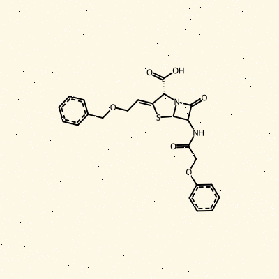 O=C(COc1ccccc1)NC1C(=O)N2C1SC(=CCOCc1ccccc1)[C@@H]2C(=O)O